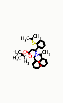 CC(C)Sc1ccccc1C(CC(=O)OC(C)(C)C)N(Cc1ccccc1)[C@@H](C)c1ccccc1